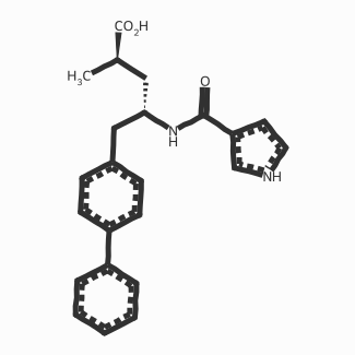 C[C@H](C[C@@H](Cc1ccc(-c2ccccc2)cc1)NC(=O)c1cc[nH]c1)C(=O)O